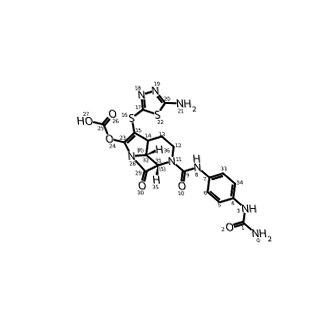 NC(=O)Nc1ccc(NC(=O)N2CCC3C(Sc4nnc(N)s4)=C(OC(=O)O)N4C(=O)[C@@H]2[C@@H]34)cc1